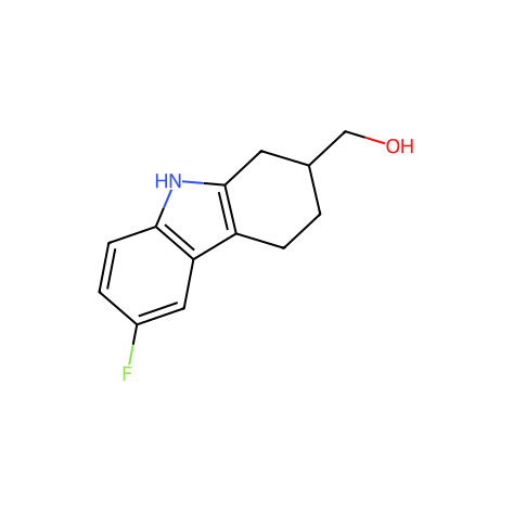 OCC1CCc2c([nH]c3ccc(F)cc23)C1